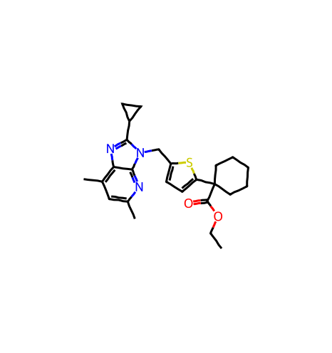 CCOC(=O)C1(c2ccc(Cn3c(C4CC4)nc4c(C)cc(C)nc43)s2)CCCCC1